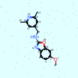 COc1ccc2nc(NCc3cc(C)nc(C)c3)oc2c1